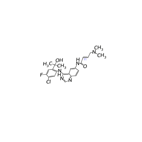 CN(C)C/C=C/C(=O)Nc1ccc2ncnc(Nc3cc(Cl)c(F)cc3C(C)(C)O)c2c1